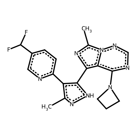 Cc1n[nH]c(-c2nc(C)n3ncnc(N4CCC4)c23)c1-c1ccc(C(F)F)cn1